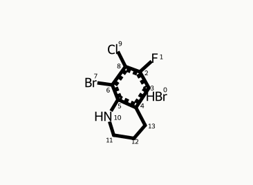 Br.Fc1cc2c(c(Br)c1Cl)NCCC2